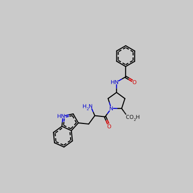 NC(Cc1c[nH]c2ccccc12)C(=O)N1CC(NC(=O)c2ccccc2)CC1C(=O)O